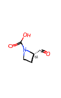 O=C[C@@H]1CCN1C(=O)O